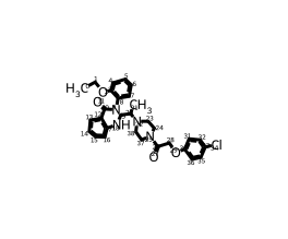 CCOc1ccccc1N1C(=O)c2ccccc2NC1C(C)N1CCN(C(=O)COc2ccc(Cl)cc2)CC1